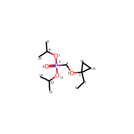 CCC1(OCP(=O)(OC(C)C)OC(C)C)CC1